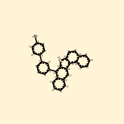 Brc1ccc(-c2cccc(-c3c4ccccc4cc4c3oc3ccc5ccccc5c34)c2)cc1